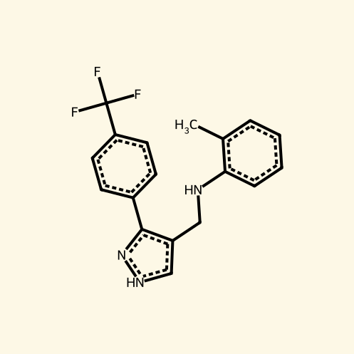 Cc1ccccc1NCc1c[nH]nc1-c1ccc(C(F)(F)F)cc1